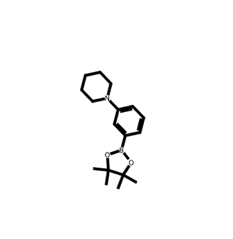 CC1(C)OB(c2cccc(N3CCCCC3)c2)OC1(C)C